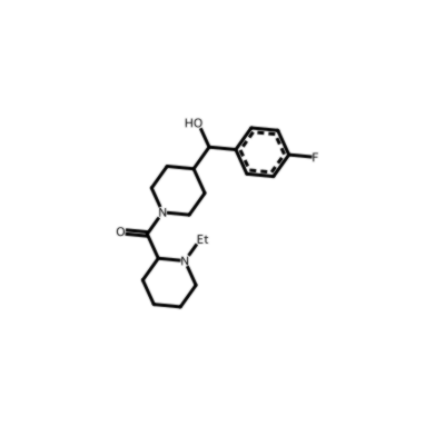 CCN1CCCCC1C(=O)N1CCC(C(O)c2ccc(F)cc2)CC1